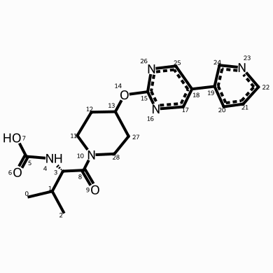 CC(C)[C@H](NC(=O)O)C(=O)N1CCC(Oc2ncc(-c3cccnc3)cn2)CC1